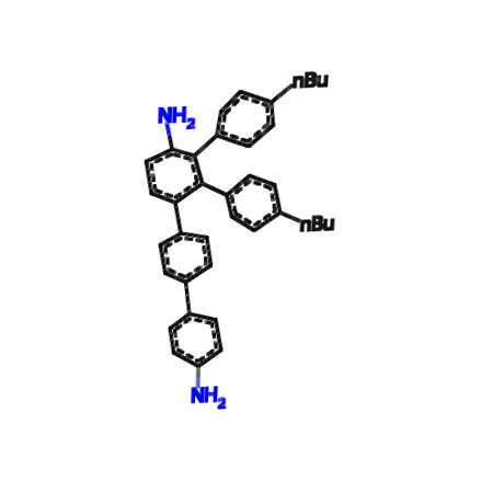 CCCCc1ccc(-c2c(N)ccc(-c3ccc(-c4ccc(N)cc4)cc3)c2-c2ccc(CCCC)cc2)cc1